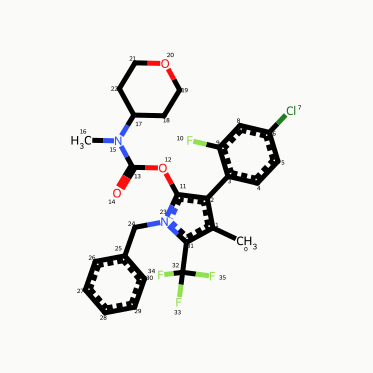 Cc1c(-c2ccc(Cl)cc2F)c(OC(=O)N(C)C2CCOCC2)n(Cc2ccccc2)c1C(F)(F)F